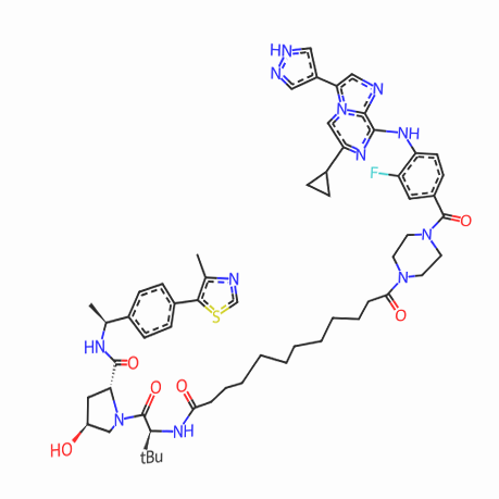 Cc1ncsc1-c1ccc([C@H](C)NC(=O)[C@H]2C[C@H](O)CN2C(=O)[C@@H](NC(=O)CCCCCCCCCCC(=O)N2CCN(C(=O)c3ccc(Nc4nc(C5CC5)cn5c(-c6cn[nH]c6)cnc45)c(F)c3)CC2)C(C)(C)C)cc1